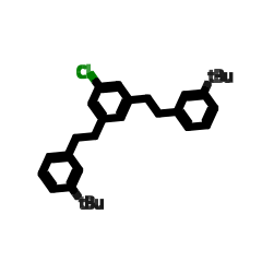 CC(C)(C)c1cccc(CCc2cc(Cl)cc(CCc3cccc(C(C)(C)C)c3)c2)c1